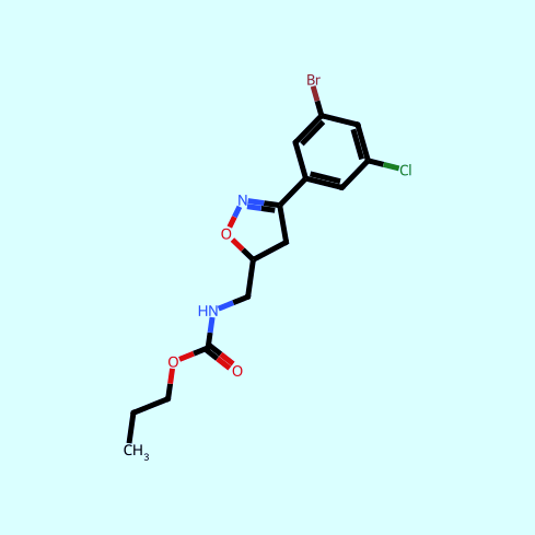 CCCOC(=O)NCC1CC(c2cc(Cl)cc(Br)c2)=NO1